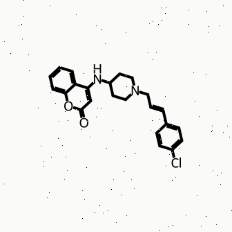 O=c1cc(NC2CCN(CC=Cc3ccc(Cl)cc3)CC2)c2ccccc2o1